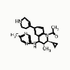 CC(=O)N1c2ccc(C3=CCNCC3)cc2C(Nc2cnc(C)cn2)[C@@H](C)[C@@H]1C1CC1